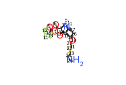 CCn1cc(C(=O)OC(=O)C(F)(F)F)c(=O)c2cc(OCCSCCN)ccc21